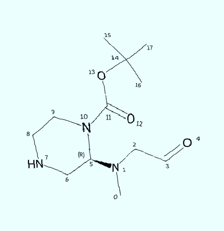 CN(CC=O)[C@H]1CNCCN1C(=O)OC(C)(C)C